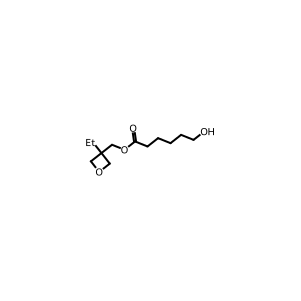 CCC1(COC(=O)CCCCCO)COC1